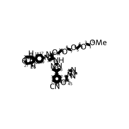 COCCOCCOCCOCCOc1nn([C@H]2CC[C@H](N3[C@@H]4CC[C@H]3COC4)CC2)cc1Nc1ncc(-c2ccc(C#N)c(O[C@@H](C)Cn3cncn3)c2)cn1